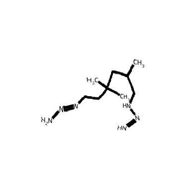 CC(CNN=N)CC(C)(C)CCN=NN